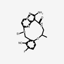 CCN1Cc2c(ccc(F)c2C#N)OC(C)CNC(=O)c2c(N)nn3ccc1nc23